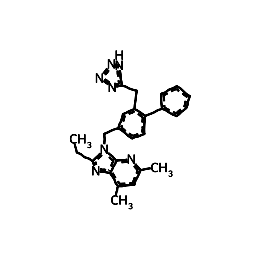 CCc1nc2c(C)cc(C)nc2n1Cc1ccc(-c2ccccc2)c(Cc2nnn[nH]2)c1